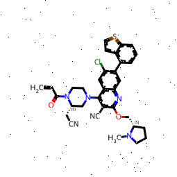 C=CC(=O)N1CCN(c2c(C#N)c(OC[C@@H]3CCCN3C)nc3cc(-c4cccc5sccc45)c(Cl)cc23)C[C@@H]1CC#N